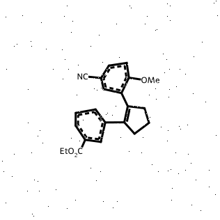 CCOC(=O)c1cccc(C2=C(c3cc(C#N)ccc3OC)CCC2)c1